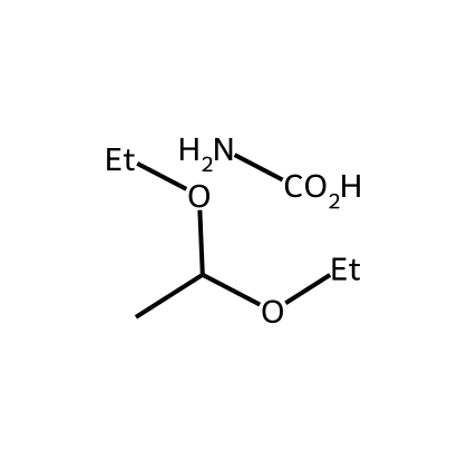 CCOC(C)OCC.NC(=O)O